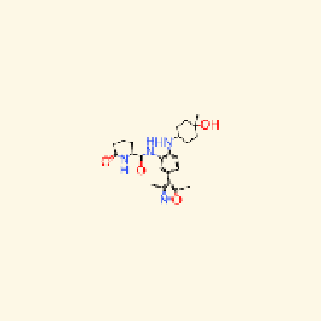 Cc1noc(C)c1-c1ccc(NC2CCC(C)(O)CC2)c(NC(=O)C2CCCC(=O)N2)c1